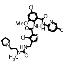 COc1cc(Cl)cc(C(=O)Nc2ccc(Cl)cn2)c1NC(=O)c1scc(CNC(=O)N(C)CCN2CCCC2)c1Cl